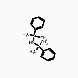 CS(C)(NS(C)(C)c1ccccc1)c1ccccc1